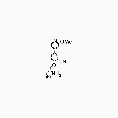 COc1cc(-c2ccc(OC[C@@H](N)CC(C)C)c(C#N)c2)ccn1